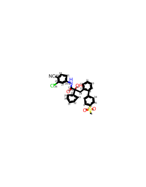 CS(=O)(=O)c1ccc(-c2ccccc2CC(O)(C(=O)Nc2ccc(C#N)c(Cl)c2)c2ccccc2)cc1